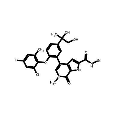 CCNC(=O)c1cc2c(-c3cc(C(C)(O)CO)ccc3Oc3c(C)cc(F)cc3Cl)cn(C)c(=O)c2[nH]1